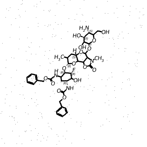 CC1C[C@@H]2OC(O[C@H]3OC(CO)[C@@H](N)[C@H](O)C3O)C3C(OC(=O)N3C)C2O[C@@H]1O[C@@H]1C(NC(=O)OCc2ccccc2)C[C@@H](NC(=O)OCc2ccccc2)C(O)[C@H]1F